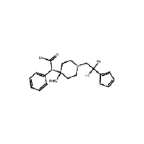 [2H]C([2H])(CN1CCC(OC)(N(C(=O)CC)c2ccccc2)CC1)c1cccs1